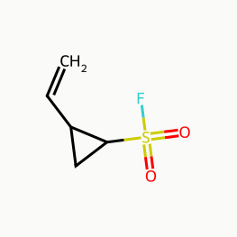 C=CC1CC1S(=O)(=O)F